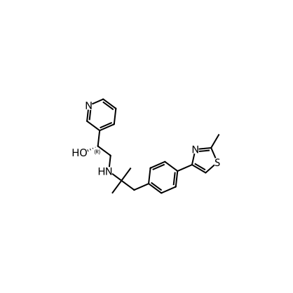 Cc1nc(-c2ccc(CC(C)(C)NC[C@H](O)c3cccnc3)cc2)cs1